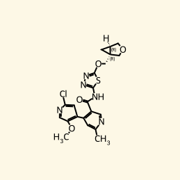 COc1cnc(Cl)cc1-c1cc(C)ncc1C(=O)Nc1nnc(OC[C@@]23COC[C@@H]2C3)s1